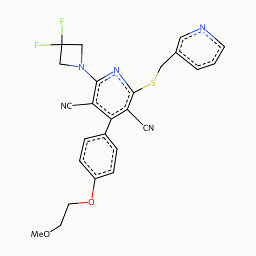 COCCOc1ccc(-c2c(C#N)c(SCc3cccnc3)nc(N3CC(F)(F)C3)c2C#N)cc1